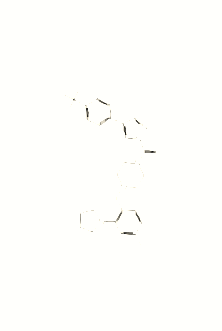 Cc1ccc(CN2CCN(C(=O)n3cc(-c4ccc(C(F)(F)F)cc4)cn3)CC2)c(N2CCCC2)c1